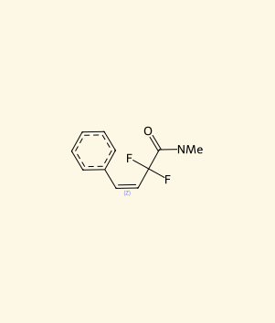 CNC(=O)C(F)(F)/C=C\c1ccccc1